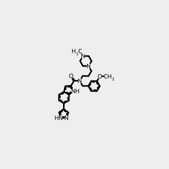 COc1cccc(CN(CCCN2CCN(C)CC2)C(=O)c2cc3ccc(-c4cn[nH]c4)cc3[nH]2)c1